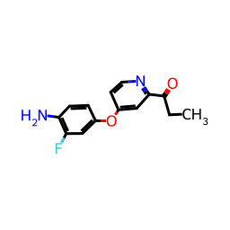 CCC(=O)c1cc(Oc2ccc(N)c(F)c2)ccn1